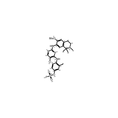 COc1cc2c(cc1Nc1ncc(Cl)c(Nc3ccc(OS(=O)(=O)F)cc3C)n1)C(C)(C)N(C)CC2